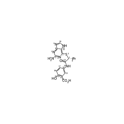 CC(C)[C@@H](Sc1nc(N)nc2nc[nH]c12)C(=O)Nc1ccc(O)c(C(=O)O)c1